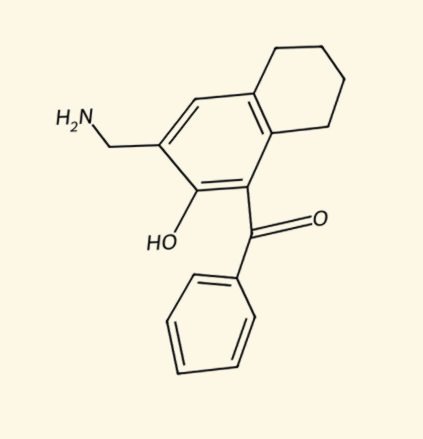 NCc1cc2c(c(C(=O)c3ccccc3)c1O)CCCC2